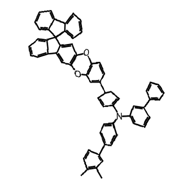 Cc1ccc(-c2ccc(N(C3=CCC(c4ccc5c(c4)Oc4cc6c(cc4O5)C4(c5ccccc5-c5ccccc54)c4ccccc4-6)C=C3)c3cccc(-c4ccccc4)c3)cc2)cc1C